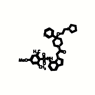 COc1cc(C)c(S(=O)(=O)Nc2cccc3ccn(CC(=O)N4CCC(OCCN5CCCC5)(c5cccnc5)CC4)c23)c(C)c1